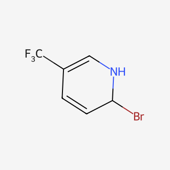 FC(F)(F)C1=CNC(Br)C=C1